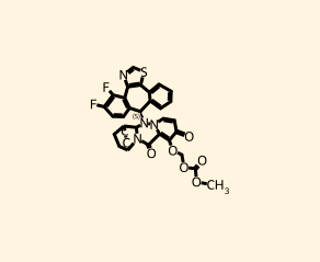 COC(=O)OCOc1c2n(ccc1=O)N([C@@H]1c3ccccc3-c3scnc3-c3c1ccc(F)c3F)C1C3CCC(CC3)N1C2=O